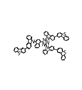 c1ccc2c(c1)sc1ccc(-c3ccc4c(c3)c3ccccc3n4-c3nc(-c4ccc(-n5c6ccccc6c6cc(-c7ccc8sc9ccccc9c8c7)ccc65)c5ccccc45)nc(-n4c5ccccc5c5cc(-c6ccc7sc8ccccc8c7c6)ccc54)n3)cc12